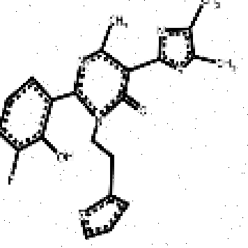 Cc1nc(-c2c(C)nc(-c3cccc(F)c3O)n(CCc3cccs3)c2=O)sc1C